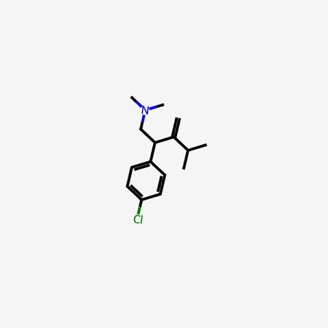 C=C(C(C)C)C(CN(C)C)c1ccc(Cl)cc1